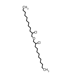 CCCCCCCCCCC(Cl)COCC(Cl)CCCCCCCCCC